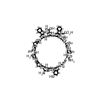 CCCC[C@H]1C(=O)N(C)[C@@H](CCCC)C(=O)N[C@@H](CC(C)C)C(=O)N[C@H](C(N)=O)CSCC(=O)N[C@@H](Cc2ccc(O)cc2)C(=O)N(C)[C@@H](C)C(=O)N[C@@H](CC(N)=O)C(=O)N2CCC[C@H]2C(=O)N[C@@H](CN)C(=O)N[C@@H](CC(C)C)C(=O)N2CCC[C@H]2C(=O)N[C@@H](Cc2c[nH]c3ccccc23)C(=O)N[C@@H](CCC(O)O)C(=O)N[C@@H](Cc2cn(CC(=O)O)c3ccccc23)C(=O)N1C